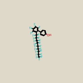 Oc1ccc(-c2c(F)c(F)c(F)c(F)c2C(F)(F)C(F)(F)C(F)(F)C(F)(F)C(F)(F)C(F)(F)C(F)(F)C(F)(F)C(F)(F)F)cc1